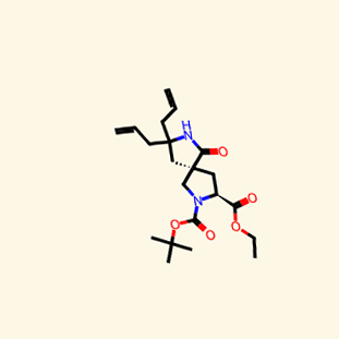 C=CCC1(CC=C)C[C@@]2(C[C@@H](C(=O)OCC)N(C(=O)OC(C)(C)C)C2)C(=O)N1